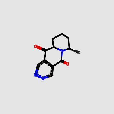 CC(=O)C1CCCC2C(=O)c3cnncc3C(=O)N12